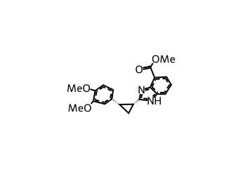 COC(=O)c1cccc2[nH]c([C@@H]3C[C@@H]3c3ccc(OC)c(OC)c3)nc12